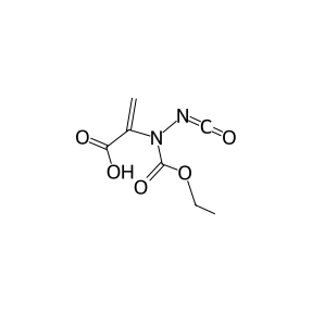 C=C(C(=O)O)N(N=C=O)C(=O)OCC